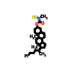 CC(C)CCCC(C)C1CCC2C3CC=C4CC(OC(=O)N(C)S)CCC4(C)C3CCC12C